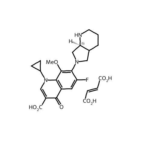 COc1c(N2CC3CCCN[C@@H]3C2)c(F)cc2c(=O)c(C(=O)O)cn(C3CC3)c12.O=C(O)C=CC(=O)O